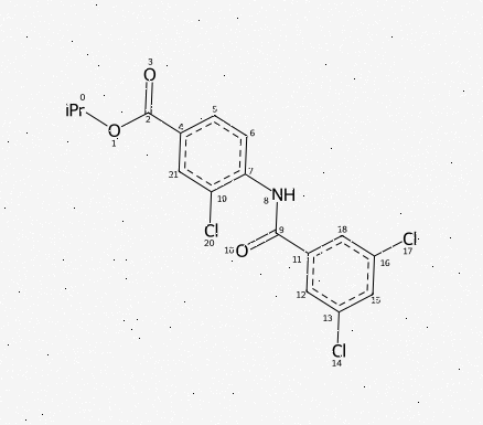 CC(C)OC(=O)c1ccc(NC(=O)c2cc(Cl)cc(Cl)c2)c(Cl)c1